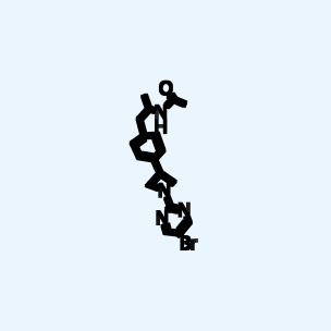 CC(=O)NC(C)Cc1ccc(C2CN(c3ncc(Br)cn3)C2)cc1